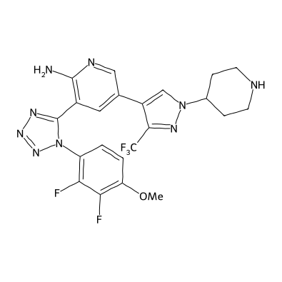 COc1ccc(-n2nnnc2-c2cc(-c3cn(C4CCNCC4)nc3C(F)(F)F)cnc2N)c(F)c1F